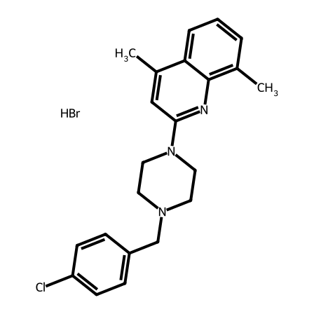 Br.Cc1cc(N2CCN(Cc3ccc(Cl)cc3)CC2)nc2c(C)cccc12